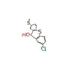 CSc1ccc2c(c1)C(O)Cc1cc(Cl)ccc1S2